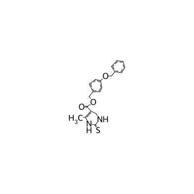 CC1=C(C(=O)OCc2ccc(OCc3ccccc3)cc2)CNC(=S)N1